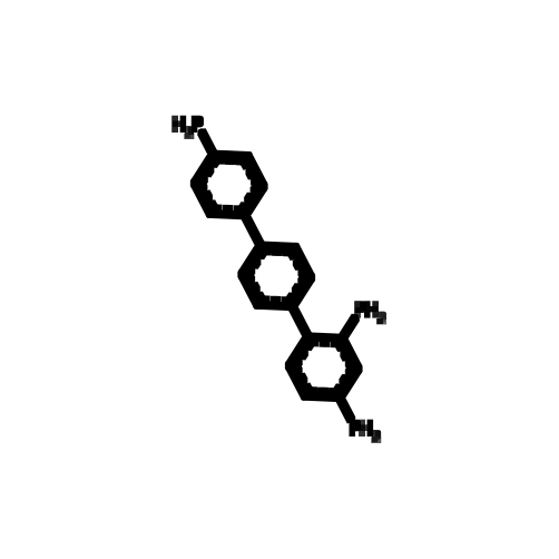 Pc1ccc(-c2ccc(-c3ccc(P)cc3P)cc2)cc1